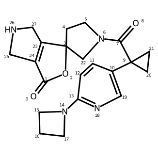 O=C1OC2(CCN(C(=O)C3(c4ccc(N5CCC5)nc4)CC3)C2)C2=C1CNC2